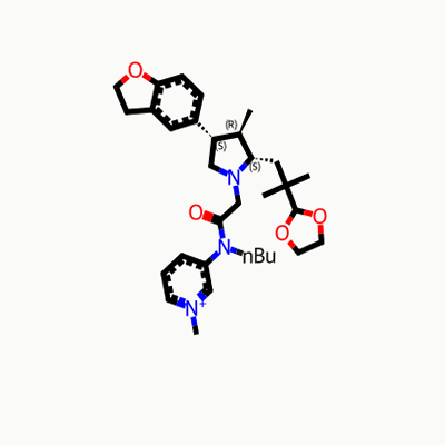 CCCCN(C(=O)CN1C[C@H](c2ccc3c(c2)CCO3)[C@@H](C)[C@@H]1CC(C)(C)C1OCCO1)c1ccc[n+](C)c1